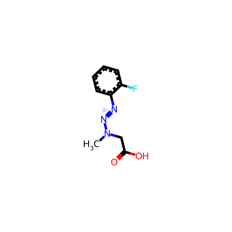 CN(CC(=O)O)/N=N/c1ccccc1F